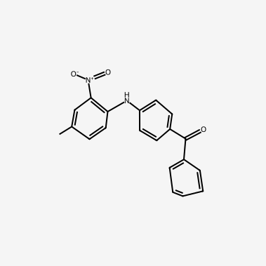 Cc1ccc(Nc2ccc(C(=O)c3ccccc3)cc2)c([N+](=O)[O-])c1